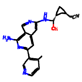 Cc1ccncc1-c1cc2cc(NC(O)[C@@H]3C[C@H]3C#N)ncc2c(N)n1